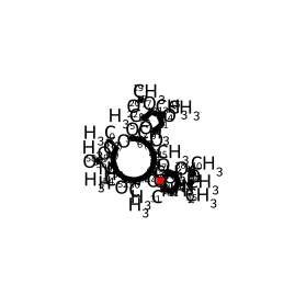 CC[C@H]1OC(=O)[C@H](C)[C@@H](OC2C[C@@](C)(OC)[C@@H](OC(C)=O)[C@H](C)O2)[C@H](C)[C@@H](O[C@@H]2O[C@H](C)C[C@H](N(C)C)[C@H]2OC(C)=O)[C@](C)(OC(N)=O)C[C@@H](C)C(=O)C(C)[C@H]2NC(=O)O[C@@]21C